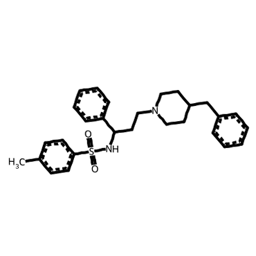 Cc1ccc(S(=O)(=O)NC(CCN2CCC(Cc3ccccc3)CC2)c2ccccc2)cc1